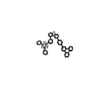 c1ccc(-c2nc(-c3ccccc3)nc(-c3cccc(-c4cccc5sc6ccc(-c7ccc(-c8ccc9c%10ccccc%10c%10ccccc%10c9c8)cc7)cc6c45)c3)n2)cc1